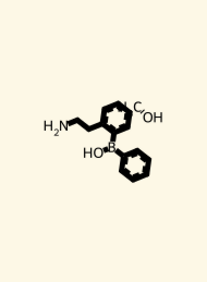 CO.NCCc1ccccc1B(O)c1ccccc1